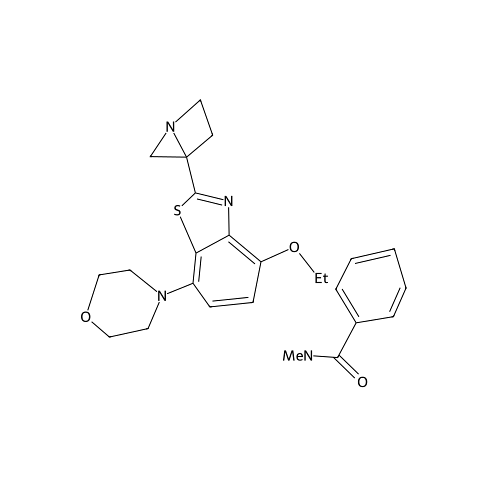 CCOc1ccc(N2CCOCC2)c2sc(C34CCN3C4)nc12.CNC(=O)c1ccccc1